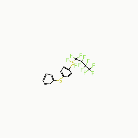 FC(F)(F)C(F)(F)C(F)(F)C(F)(F)S(F)(F)c1ccc(Sc2ccccc2)cc1